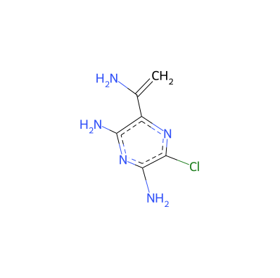 C=C(N)c1nc(Cl)c(N)nc1N